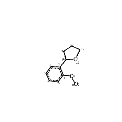 CCOc1ccccc1[C]1CCCO1